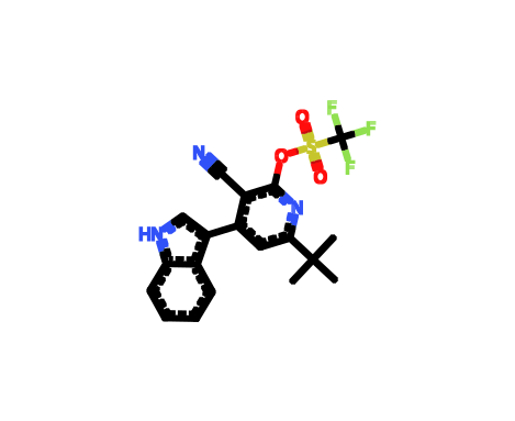 CC(C)(C)c1cc(-c2c[nH]c3ccccc23)c(C#N)c(OS(=O)(=O)C(F)(F)F)n1